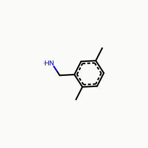 Cc1ccc(C)c(C[NH])c1